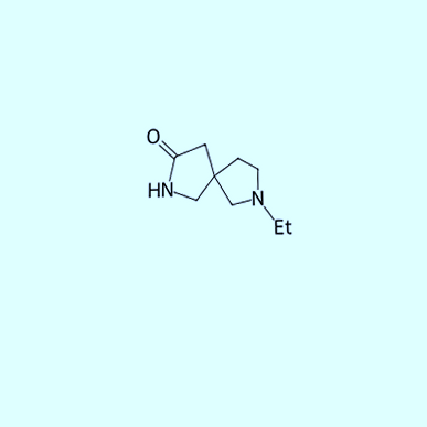 CCN1CCC2(CNC(=O)C2)C1